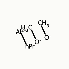 CC[CH2][Al+2].C[O-].C[O-]